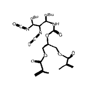 C=C(C)C(=O)OCC(COC(=O)C(=C)C)OC(=O)NC(CCCC)C(N=C=O)C(CCCC)N=C=O